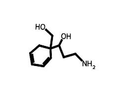 NCCC(O)C1(CO)C=CC=CC1